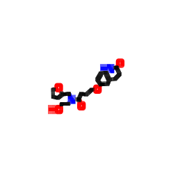 O=C1CCc2cc(OCCCC(=O)N(CCO)CC3CCCO3)ccc2N1